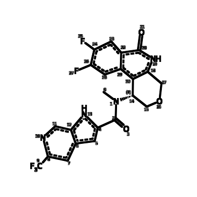 CN(C(=O)c1cc2cc(C(F)(F)F)ncc2[nH]1)[C@H]1COCc2[nH]c(=O)c3cc(F)c(F)cc3c21